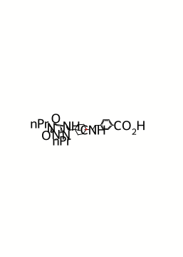 CCCn1c(=O)c2[nH]c(C34CCC(NCc5ccc(C(=O)O)cc5)(CC3)CC4)nc2n(CCC)c1=O